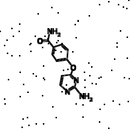 NC(=O)c1ccc(Oc2ccnc(N)n2)cc1